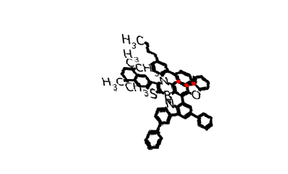 CCCCc1ccc(N2c3cc4c(oc5ccccc54)c4c3B(c3sc5cc6c(cc5c32)C(C)(C)CCC6(C)C)n2c3ccc(-c5ccccc5)cc3c3cc(-c5ccccc5)cc-4c32)c(-c2ccccc2)c1